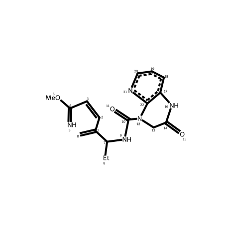 C=C(/C=C\C(=N)OC)C(CC)NC(=O)N1CC(=O)Nc2cccnc21